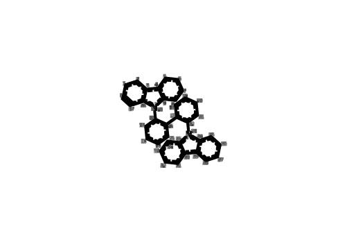 c1ccc2c3ccccc3n(-c3ccccc3-c3ccccc3-n3c4ccccc4c4ccccc43)c2c#1